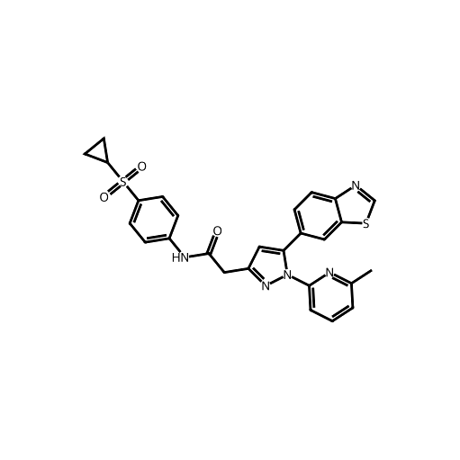 Cc1cccc(-n2nc(CC(=O)Nc3ccc(S(=O)(=O)C4CC4)cc3)cc2-c2ccc3ncsc3c2)n1